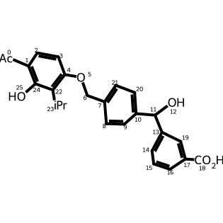 CC(=O)c1ccc(OCc2ccc(C(O)c3cccc(C(=O)O)c3)cc2)c(C(C)C)c1O